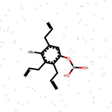 C=CCc1cc(OB(O)O)c(CC=C)c(CC=C)c1CCCC